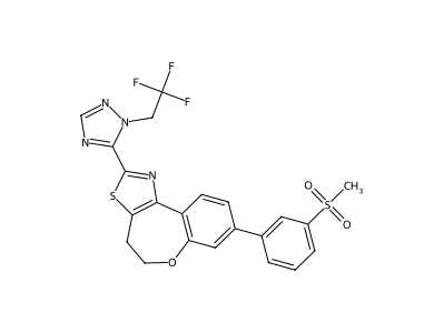 CS(=O)(=O)c1cccc(-c2ccc3c(c2)OCCc2sc(-c4ncnn4CC(F)(F)F)nc2-3)c1